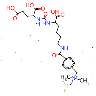 C[N+](C)(CB(F)F)Cc1ccc(C(=O)NCCCCC(NC(=O)NC(CCC(=O)O)C(=O)O)C(=O)O)cc1